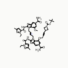 CCn1nc(C)cc1C(=O)Nc1nc2cc(C(N)=O)cc(OC)c2n1C/C=C/Cn1c(NC(=O)c2cc(C)nn2CC)nc2cc(C(N)=O)cc(OCC#CC3CN(C(=O)OC(C)(C)C)C3)c21